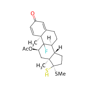 CS[C@@]1(S)CC[C@H]2[C@@H]3CCC4=CC(=O)C=C[C@]4(C)C3(F)[C@H](OC(C)=O)C[C@@]21C